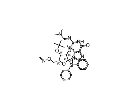 C=NOC[C@H]1O[C@](n2cnc3c(=O)[nH]c(N=CN(C)C)nc32)([SiH](c2ccccc2)c2ccccc2)[C@H](OC)[C@@H]1OC(C)(C)C